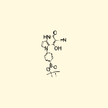 CC1(C)OB(c2ccc(-n3ccc4[nH]c(=O)c(C#N)c(O)c43)cc2)OC1(C)C